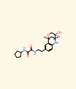 O=C(NCCc1ccc2c(c1)[C@H]1C[C@@H](N2)[C@H](O)CO1)C(=O)NC1CCCC1